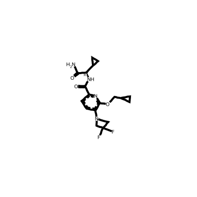 NC(=O)[C@H](NC(=O)c1ccc(N2CC(F)(F)C2)c(OCC2CC2)n1)C1CC1